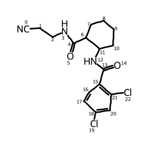 N#CCCNC(=O)C1CCCCC1NC(=O)c1ccc(Cl)cc1Cl